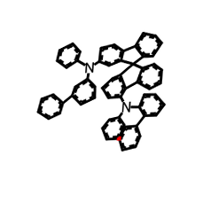 c1ccc(-c2cccc(N(c3ccccc3)c3ccc4c(c3)C3(c5ccccc5-4)c4ccccc4-c4c(N(c5ccccc5)c5ccccc5-c5ccccc5)cccc43)c2)cc1